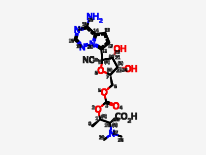 C[C@@H](OC(=O)OC[C@H]1O[C@@](C#N)(c2ccc3c(N)ncnn23)[C@H](O)[C@@H]1O)[C@@H](C(=O)O)N(C)C